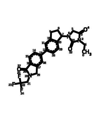 CCN1C(=O)CN(C2CCc3cc(-c4ccc5c(c4)CN(CC(F)(F)F)C5=O)ccc32)C1=O